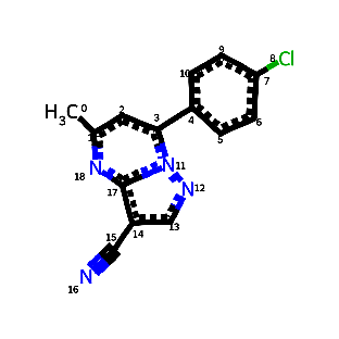 Cc1cc(-c2ccc(Cl)cc2)n2ncc(C#N)c2n1